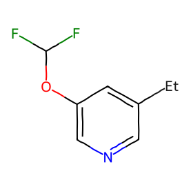 CCc1cncc(OC(F)F)c1